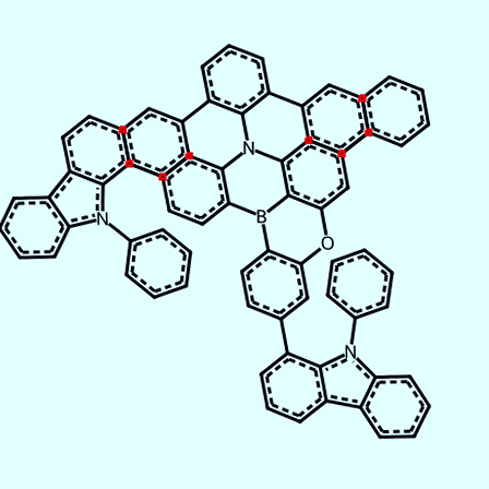 c1ccc(-c2cc3c4c(c2)N(c2c(-c5ccccc5)cccc2-c2ccccc2)c2cc(-c5cccc6c7ccccc7n(-c7ccccc7)c56)ccc2B4c2ccc(-c4cccc5c6ccccc6n(-c6ccccc6)c45)cc2O3)cc1